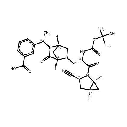 C[C@@H](c1cccc(C(=O)O)c1)N1C(=O)[C@@H]2C[C@H]1CN2C[C@H](NC(=O)OC(C)(C)C)C(=O)N1[C@H](C#N)C[C@@H]2C[C@@H]21